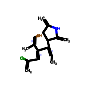 C=C(Cl)/C=C(C(\C)=C/S)/C(=C\C)C1CC(=C)NC1=C